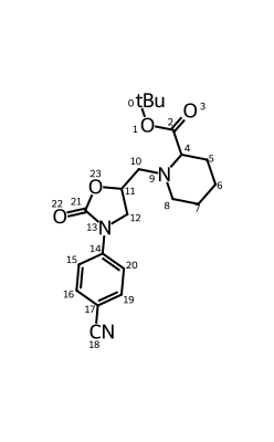 CC(C)(C)OC(=O)C1CCCCN1CC1CN(c2ccc(C#N)cc2)C(=O)O1